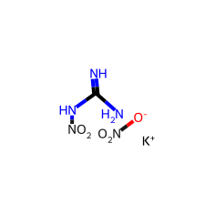 N=C(N)N[N+](=O)[O-].O=[N+]([O-])[O-].[K+]